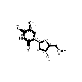 CC(=O)OCC1S[C@H](n2cc(C)c(=O)[nH]c2=O)C[C@H]1O